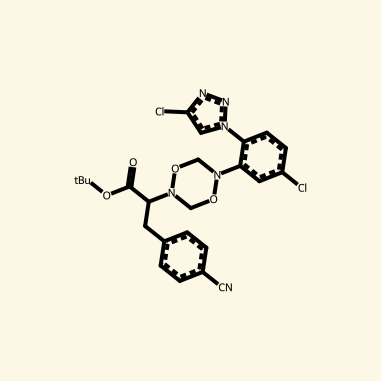 CC(C)(C)OC(=O)C(Cc1ccc(C#N)cc1)N1CON(c2cc(Cl)ccc2-n2cc(Cl)nn2)CO1